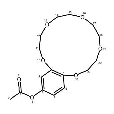 CC(=O)Oc1ccc2c(c1)OCCOCCOCCOCCO2